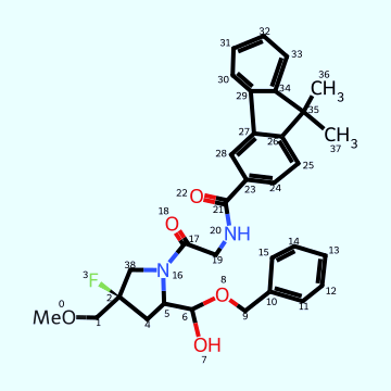 COC[C@@]1(F)CC(C(O)OCc2ccccc2)N(C(=O)CNC(=O)c2ccc3c(c2)-c2ccccc2C3(C)C)C1